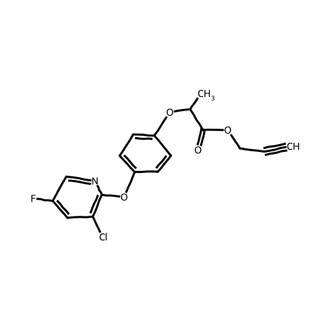 C#CCOC(=O)C(C)Oc1ccc(Oc2ncc(F)cc2Cl)cc1